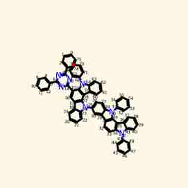 c1ccc(-c2nc(-c3ccccc3)nc(-c3cc4c5ccccc5n(-c5ccc6c(c5)c5ccc7c(c8ccccc8n7-c7ccccc7)c5n6-c5ccccc5)c4c4c5ccccc5n(-c5ccccc5)c34)n2)cc1